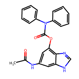 CC(=O)Nc1cc(OC(=O)N(c2ccccc2)c2ccccc2)c2nc[nH]c2c1